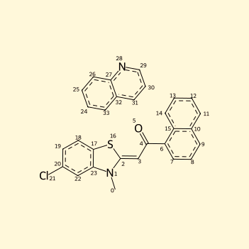 CN1C(=CC(=O)c2cccc3ccccc23)Sc2ccc(Cl)cc21.c1ccc2ncccc2c1